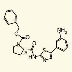 Nc1cccc(-c2cnc(NC(=O)[C@@H]3CCCN3C(=O)OCc3ccccc3)s2)c1